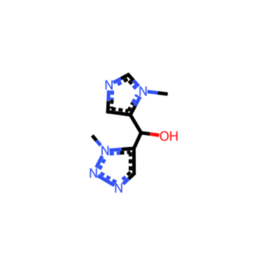 Cn1cncc1C(O)c1cnnn1C